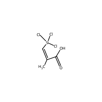 CC(=C[Si](Cl)(Cl)Cl)C(=O)O